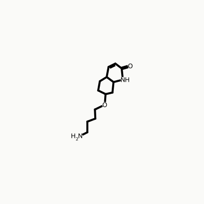 NCCCCOC1CCC2C=CC(=O)NC2C1